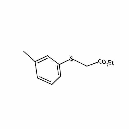 CCOC(=O)CSc1cccc(C)c1